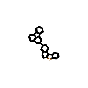 c1ccc2c(c1)-c1cccc3cc(-c4ccc5c(ccc6sc7ccccc7c65)c4)cc-2c13